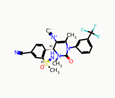 [C-]#[N+]C1=C(C)N(c2cccc(C(F)(F)F)c2)C(=O)N(C)[C@@H]1c1ccc(C#N)cc1[S@](C)(=N)=O